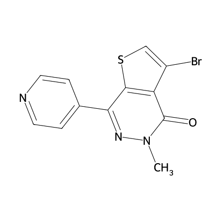 Cn1nc(-c2ccncc2)c2scc(Br)c2c1=O